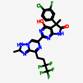 CC1N=C2C(CCC(F)(F)C(F)(F)F)=NC(c3nc(O)c4c(n3)NC(=O)C4(C)c3ccc(Cl)c(F)c3)=CN2N1